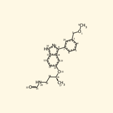 COCc1cccc(-c2n[nH]c3ccc(O[C@@H](C)CCNC=O)cc23)c1